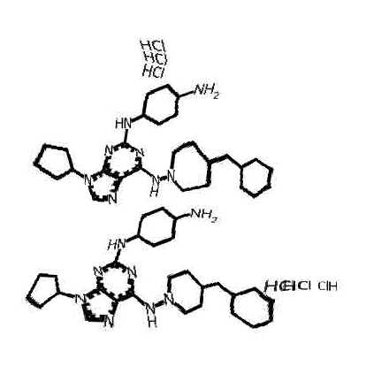 Cl.Cl.Cl.Cl.Cl.Cl.NC1CCC(Nc2nc(NN3CCC(CC4CCCCC4)CC3)c3ncn(C4CCCC4)c3n2)CC1.NC1CCC(Nc2nc(NN3CCC(CC4CCCCC4)CC3)c3ncn(C4CCCC4)c3n2)CC1